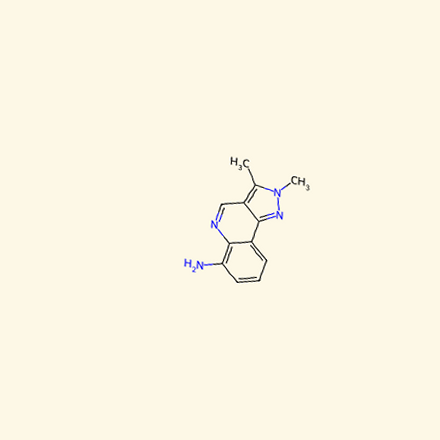 Cc1c2cnc3c(N)cccc3c2nn1C